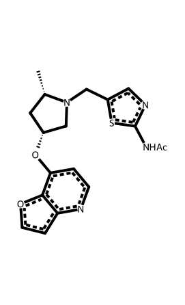 CC(=O)Nc1ncc(CN2C[C@H](Oc3ccnc4ccoc34)C[C@@H]2C)s1